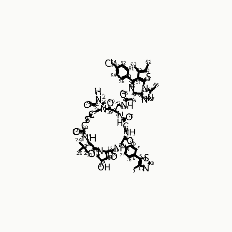 Cc1ncsc1-c1ccc([C@H]2NC(=O)[C@@H]3C[C@@H](O)CN3C(=O)[C@H](C(C)(C)C)NC(=O)CSC[C@H](C(N)=O)N(C)C(=O)[C@@H](CNC(=O)C[C@@H]3N=C(c4ccc(Cl)cc4)c4c(sc(C)c4C)-n4c(C)nnc43)NC(=O)CNC2=O)cc1